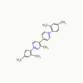 Cc1ccc(-[n+]2ccc(-c3cc[n+](-c4ccc(C)cc4C)cc3C)cc2)c(C)c1